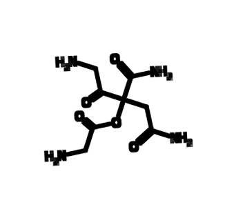 NCC(=O)OC(CC(N)=O)(C(N)=O)C(=O)CN